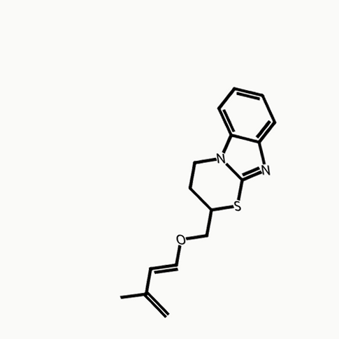 C=C(C)C=COCC1CCn2c(nc3ccccc32)S1